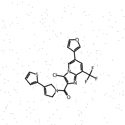 O=C(c1nc2c(C(F)(F)F)cc(-c3ccoc3)cn2c1Cl)N1CC=C(c2cccs2)C1